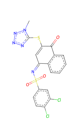 Cn1nnnc1SC1=C/C(=N/S(=O)(=O)c2ccc(Cl)c(Cl)c2)c2ccccc2C1=O